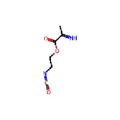 CC(=N)C(=O)OCCN=C=O